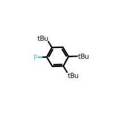 CC(C)(C)c1cc(C(C)(C)C)c(C(C)(C)C)cc1F